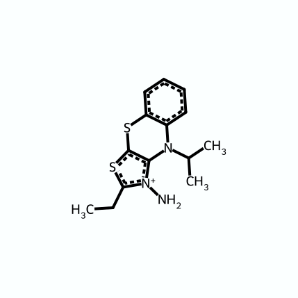 CCc1sc2c([n+]1N)N(C(C)C)c1ccccc1S2